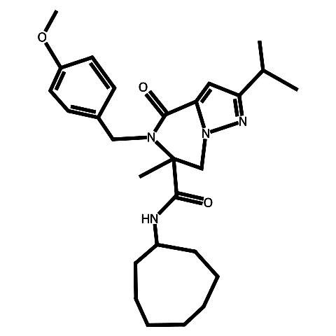 COc1ccc(CN2C(=O)c3cc(C(C)C)nn3CC2(C)C(=O)NC2CCCCCCC2)cc1